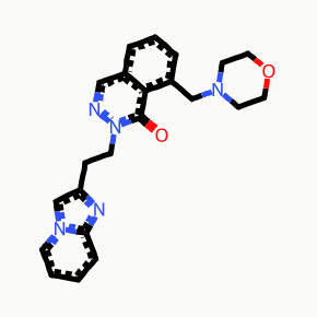 O=c1c2c(CN3CCOCC3)cccc2cnn1CCc1cn2ccccc2n1